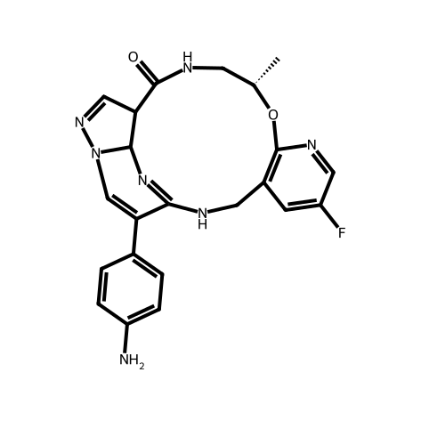 C[C@H]1CNC(=O)C2C=NN3C=C(c4ccc(N)cc4)C(=NC23)NCc2cc(F)cnc2O1